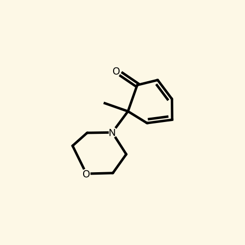 CC1(N2CCOCC2)C=CC=CC1=O